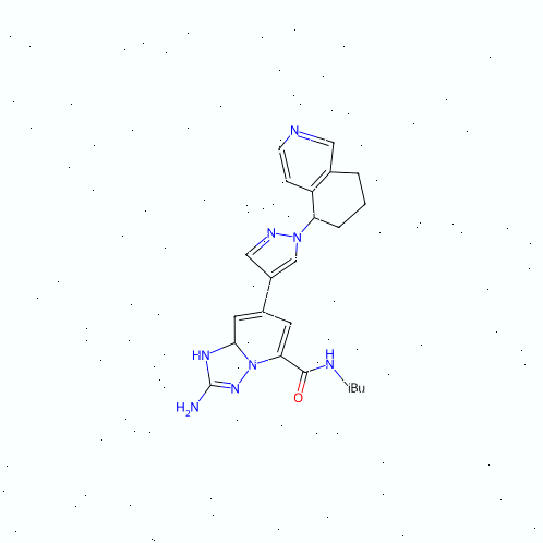 CCC(C)NC(=O)C1=CC(c2cnn(C3CCCc4cnccc43)c2)=CC2NC(N)=NN12